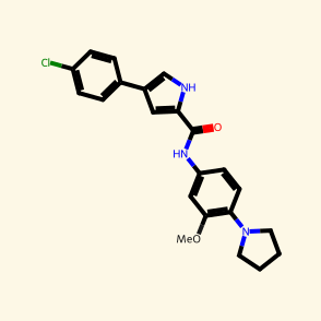 COc1cc(NC(=O)c2cc(-c3ccc(Cl)cc3)c[nH]2)ccc1N1CCCC1